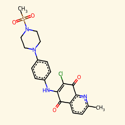 Cc1ccc2c(n1)C(=O)C(Cl)=C(Nc1ccc(N3CCN(S(C)(=O)=O)CC3)cc1)C2=O